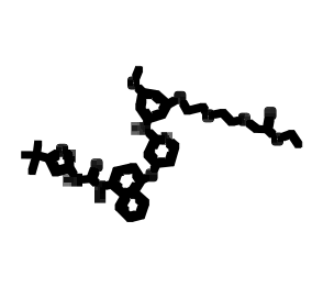 CCOC(=O)COCCOCCOc1cc(Nc2cc(Oc3ccc(NC(=O)Nc4cc(C(C)(C)C)on4)c4ccccc34)ccn2)cc(OC)c1